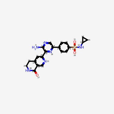 Nc1ncc(-c2ccc(S(=O)(=O)NC3CC3)cc2)nc1-c1cc2c(cn1)C(=O)NCC2